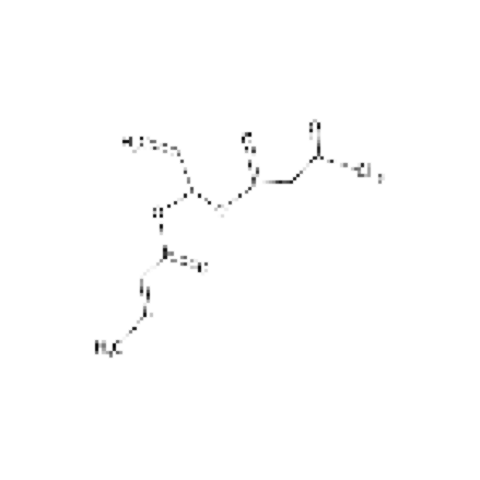 C=CC(OC(=O)C=CC)OC(=O)CC(C)=O